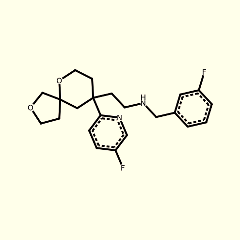 Fc1ccc(C2(CCNCc3cccc(F)c3)CCOC3(CCOC3)C2)nc1